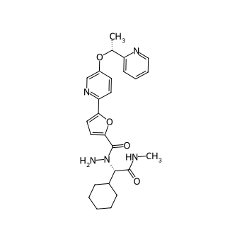 CNC(=O)[C@H](C1CCCCC1)N(N)C(=O)c1ccc(-c2ccc(O[C@H](C)c3ccccn3)cn2)o1